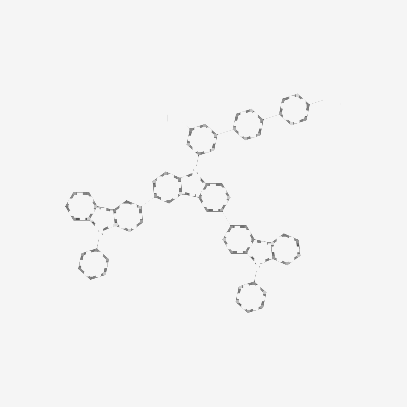 Cc1ccc(-c2ccc(-c3cc(C)cc(-n4c5ccc(-c6ccc7c(c6)c6ccccc6n7-c6ccccc6)cc5c5cc(-c6ccc7c(c6)c6ccccc6n7-c6ccccc6)ccc54)c3)cc2)cc1